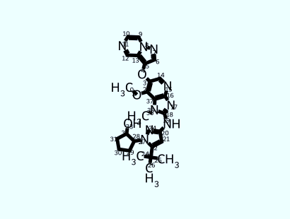 COc1c(Oc2cnn3ccncc23)cnc2nc(Nc3cc(C(C)(C)C)n(C4CCCC4O)n3)n(C)c12